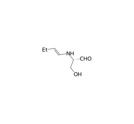 CC/C=C/N[C@H](C=O)CO